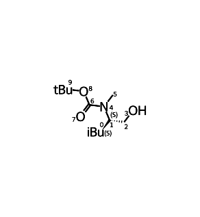 CC[C@H](C)[C@@H](CO)N(C)C(=O)OC(C)(C)C